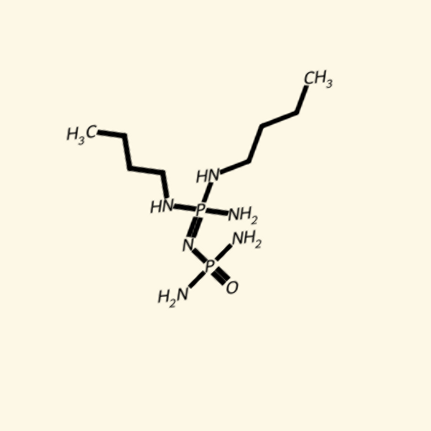 CCCCNP(N)(=NP(N)(N)=O)NCCCC